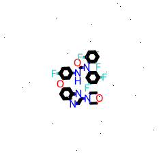 O=C(Nc1ccc(F)c(Oc2ccc3ncc(N4CCOCC4)nc3c2)c1)N(c1cc(F)cc(F)c1)c1c(F)c[c]cc1F